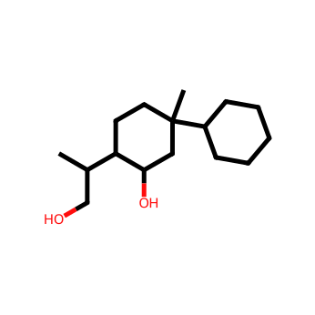 CC(CO)C1CCC(C)(C2CCCCC2)CC1O